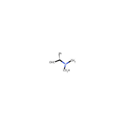 CC(C)[C@@H](C=O)N(C)C(=O)O